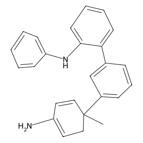 CC1(c2cccc(-c3ccccc3Nc3ccccc3)c2)C=CC(N)=CC1